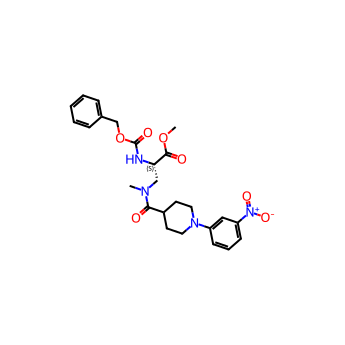 COC(=O)[C@H](CN(C)C(=O)C1CCN(c2cccc([N+](=O)[O-])c2)CC1)NC(=O)OCc1ccccc1